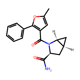 Cc1cc(C(=O)N2[C@H](C(N)=O)C[C@@H]3C[C@@H]32)c(-c2ccccc2)o1